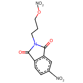 O=C1c2ccc([N+](=O)[O-])cc2C(=O)N1CCCO[N+](=O)[O-]